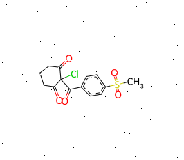 CS(=O)(=O)c1ccc(C(=O)C2(Cl)C(=O)CCCC2=O)cc1